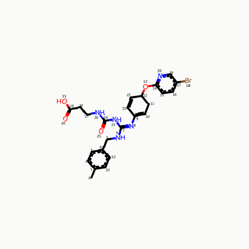 Cc1ccc(CN/C(=N/C2=CCC(Oc3ccc(Br)cn3)C=C2)NC(=O)NCCC(=O)O)cc1